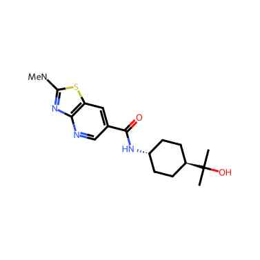 CNc1nc2ncc(C(=O)N[C@H]3CC[C@H](C(C)(C)O)CC3)cc2s1